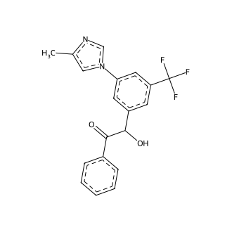 Cc1cn(-c2cc(C(O)C(=O)c3ccccc3)cc(C(F)(F)F)c2)cn1